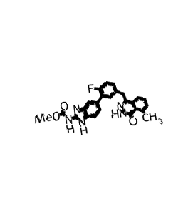 COC(=O)Nc1nc2cc(-c3cc(Cc4n[nH]c(=O)c5c(C)cccc45)ccc3F)ccc2[nH]1